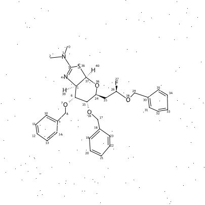 CN(C)C1=N[C@@H]2[C@@H](OCc3ccccc3)[C@@H](OCc3ccccc3)[C@H](C[C@@H](F)OCc3ccccc3)O[C@@H]2S1